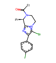 CCC(=O)N1CCn2c(nc(-c3ccc(F)cc3)c2Br)[C@H]1C(C)C